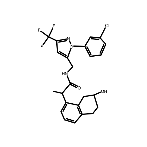 CC(C(=O)NCc1cc(C(F)(F)F)nn1-c1cccc(Cl)c1)c1cccc2c1CC(O)CC2